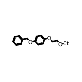 CCOCCOc1ccc(OCc2ccccc2)cc1